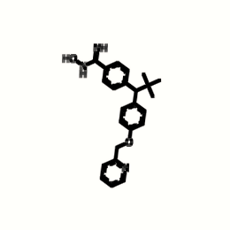 CC(C)(C)C(c1ccc(OCc2ccccn2)cc1)c1ccc(C(=N)NO)cc1